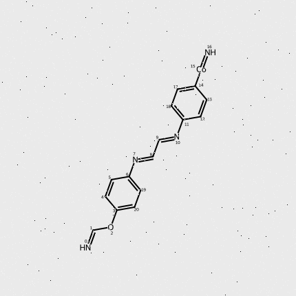 N=COc1ccc(N=CC=Nc2cc[c]([Co]=[NH])cc2)cc1